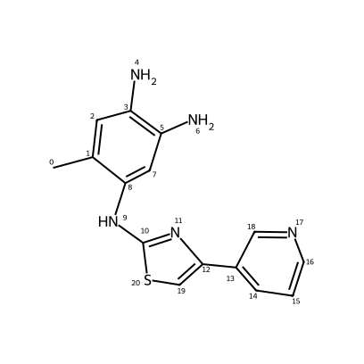 Cc1cc(N)c(N)cc1Nc1nc(-c2cccnc2)cs1